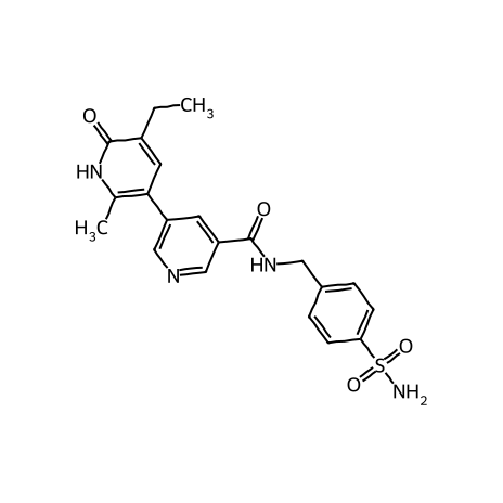 CCc1cc(-c2cncc(C(=O)NCc3ccc(S(N)(=O)=O)cc3)c2)c(C)[nH]c1=O